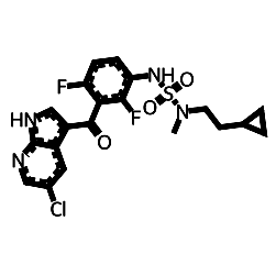 CN(CCC1CC1)S(=O)(=O)Nc1ccc(F)c(C(=O)c2c[nH]c3ncc(Cl)cc23)c1F